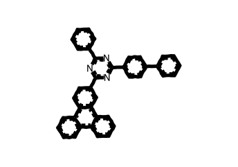 c1ccc(-c2ccc(-c3nc(-c4ccccc4)nc(-c4ccc5c6ccccc6c6ccccc6c5c4)n3)cc2)cc1